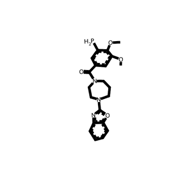 COc1cc(C(=O)N2CCCN(c3nc4ccccc4o3)CC2)cc(P)c1OC